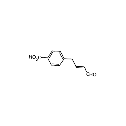 O=C/C=C/Cc1ccc(C(=O)O)cc1